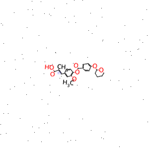 COc1cc(/C=C(\C)C(=O)O)ccc1OC(=O)c1ccc(OC2CCCCO2)cc1